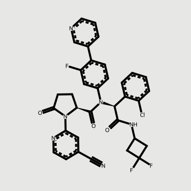 N#Cc1ccnc(N2C(=O)CC[C@H]2C(=O)N(c2ccc(-c3cccnc3)c(F)c2)[C@H](C(=O)NC2CC(F)(F)C2)c2ccccc2Cl)c1